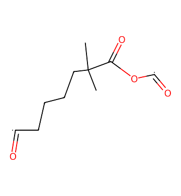 CC(C)(CCCC[C]=O)C(=O)O[C]=O